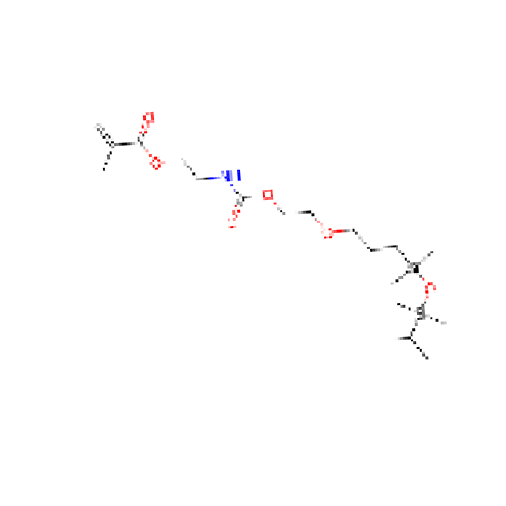 C=C(C)C(=O)OCCNC(=O)OCCOCCC[Si](C)(C)O[Si](C)(C)C(C)C